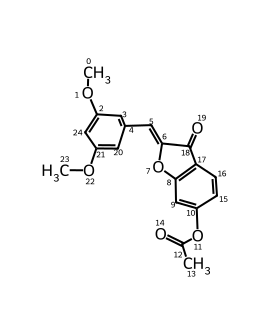 COc1cc(/C=C2\Oc3cc(OC(C)=O)ccc3C2=O)cc(OC)c1